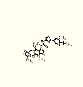 Cc1noc(Cn2c(=O)c3c(ncn3[C@@H](C)C(=O)Nc3csc(-c4cnc(C(C)(F)F)c(C)c4)n3)n(C)c2=O)n1